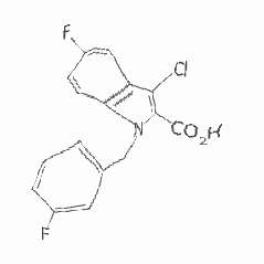 O=C(O)c1c(Cl)c2cc(F)ccc2n1Cc1cccc(F)c1